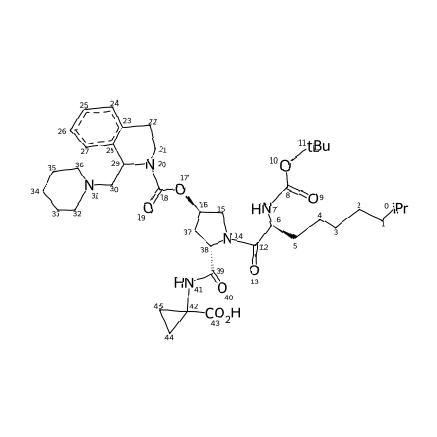 CC(C)CCCCC[C@H](NC(=O)OC(C)(C)C)C(=O)N1C[C@H](OC(=O)N2CCc3ccccc3C2CN2CCCCC2)C[C@H]1C(=O)NC1(C(=O)O)CC1